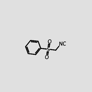 [C-]#[N+]CS(=O)(=O)c1ccccc1